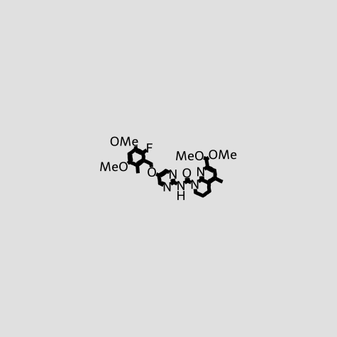 COc1cc(OC)c(F)c(COc2cnc(NC(=O)N3CCCc4c(C)cc(C(OC)OC)nc43)nc2)c1C